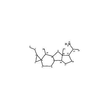 CCC1CC12CCC1C(CC3(C)C(C(C)N)CCC13)C2C